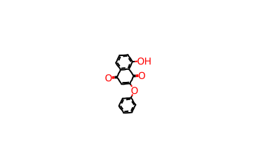 O=C1C=C(Oc2ccccc2)C(=O)c2c(O)cccc21